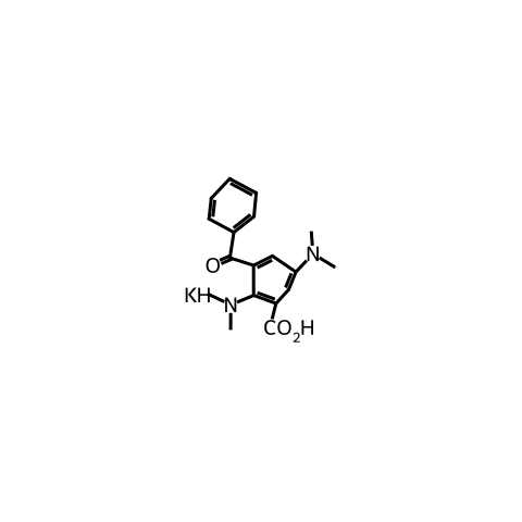 CN(C)c1cc(C(=O)O)c(N(C)C)c(C(=O)c2ccccc2)c1.[KH]